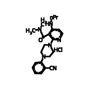 CCCNc1ccnc(N2CCN(c3ccccc3C#N)CC2)c1C(=O)N(C)C.Cl